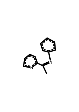 CC(=Nc1ccccc1)c1ccccn1